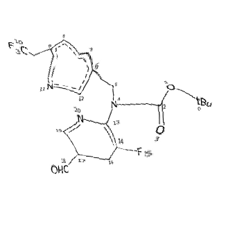 CC(C)(C)OC(=O)N(Cc1ccc(C(F)(F)F)nc1)C1=C(F)CC(C=O)C=N1